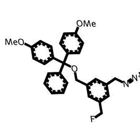 COc1ccc(C(OCc2cc(CF)cc(CN=[N+]=[N-])c2)(c2ccccc2)c2ccc(OC)cc2)cc1